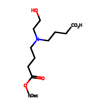 CCCCCCCCCCOC(=O)CCCN(CCO)CCCC(=O)O